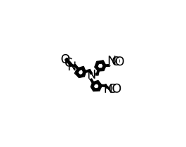 O=C=NCc1cccc(CN(Cc2cccc(CN=C=O)c2)Cc2cccc(CN=C=O)c2)c1